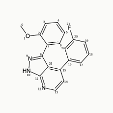 COc1ccccc1-c1n[nH]c2nccc(-c3cccc(F)c3)c12